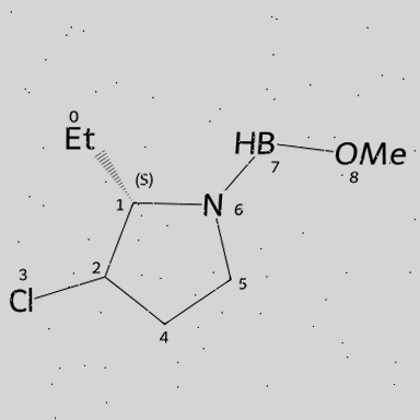 CC[C@H]1C(Cl)CCN1BOC